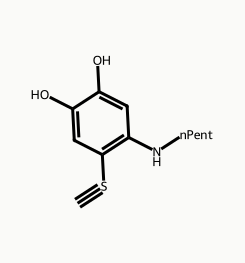 C#Sc1cc(O)c(O)cc1NCCCCC